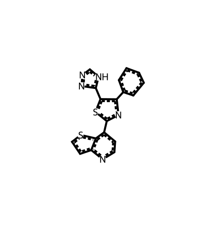 c1ccc(-c2nc(-c3ccnc4ccsc34)sc2-c2nnc[nH]2)cc1